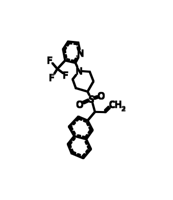 C=CC(c1ccc2ccccc2c1)S(=O)(=O)C1CCN(c2ncccc2C(F)(F)F)CC1